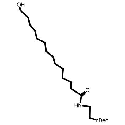 CCCCCCCCCCCCNC(=O)CCCCCCCCCCCCCO